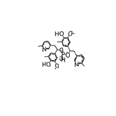 COc1cc(C(Cc2ccc(C)nc2)O[PH](=O)OC(Cc2ccc(C)nc2)c2cc(C)c(O)c(OC)c2)cc(C)c1O